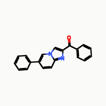 O=C(c1ccccc1)c1cn2cc(-c3ccccc3)ccc2n1